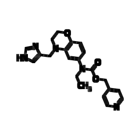 CCN(C(=O)OCc1ccncc1)c1ccc2c(c1)N(Cc1c[nH]cn1)CCO2